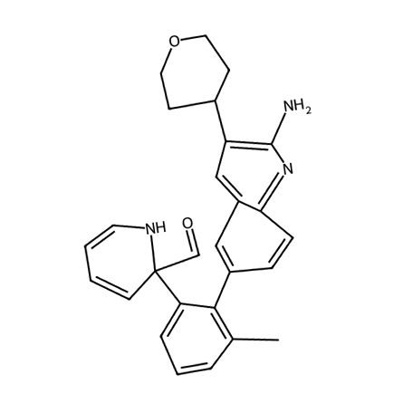 Cc1cccc(C2(C=O)C=CC=CN2)c1-c1ccc2nc(N)c(C3CCOCC3)cc2c1